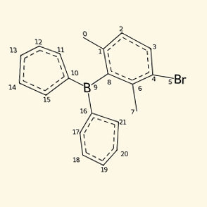 Cc1ccc(Br)c(C)c1B(c1ccccc1)c1ccccc1